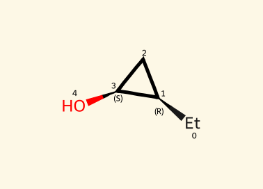 CC[C@@H]1C[C@@H]1O